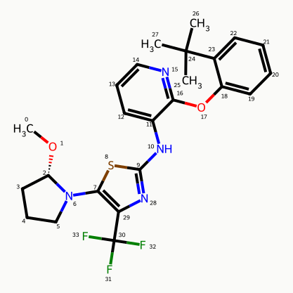 CO[C@H]1CCCN1c1sc(Nc2cccnc2Oc2ccccc2C(C)(C)C)nc1C(F)(F)F